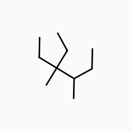 CCC(C)C(C)(CC)CC